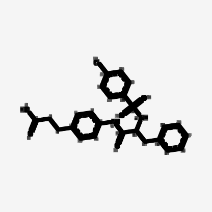 O=C(O)CCc1ccc(NC(=O)C(Cc2ccccc2)NS(=O)(=O)c2ccc(Cl)cc2)cc1